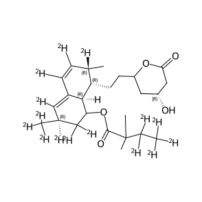 [2H]C1=C([2H])[C@]([2H])(C)[C@H](CCC2C[C@@H](O)CC(=O)O2)[C@@H]2C1=C([2H])[C@]([2H])(C([2H])([2H])[2H])C([2H])([2H])C2OC(=O)C(C)(C)C([2H])([2H])C([2H])([2H])[2H]